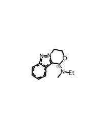 CCN(C)[C@H]1OCCn2nc3ccccc3c21